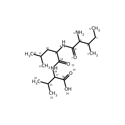 CCC(C)C(N)C(=O)NC(CC(C)C)C(=O)NC(C(=O)O)C(C)C